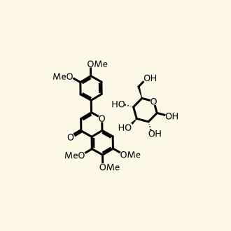 COc1ccc(-c2cc(=O)c3c(OC)c(OC)c(OC)cc3o2)cc1OC.OC[C@H]1OC(O)[C@H](O)[C@@H](O)[C@@H]1O